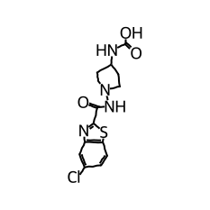 O=C(O)NC1CCN(NC(=O)c2nc3cc(Cl)ccc3s2)CC1